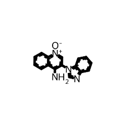 Nc1c(-n2cnc3ccccc32)c[n+]([O-])c2ccccc12